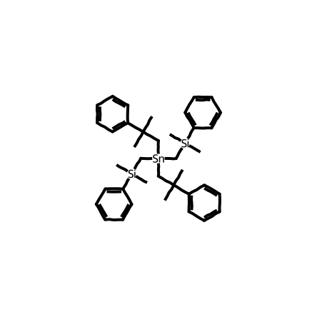 CC(C)([CH2][Sn]([CH2]C(C)(C)c1ccccc1)([CH2][Si](C)(C)c1ccccc1)[CH2][Si](C)(C)c1ccccc1)c1ccccc1